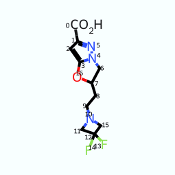 O=C(O)c1cc2n(n1)CC(CCN1CC(F)(F)C1)O2